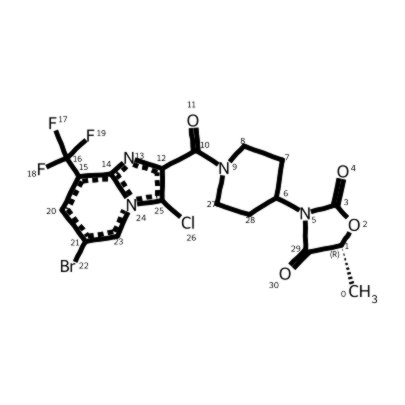 C[C@H]1OC(=O)N(C2CCN(C(=O)c3nc4c(C(F)(F)F)cc(Br)cn4c3Cl)CC2)C1=O